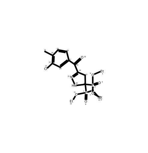 CCOP(=O)(OCC)C1(P(=O)(OCC)OCC)CC(C(=O)c2ccc(C)c(Cl)c2)=NN1